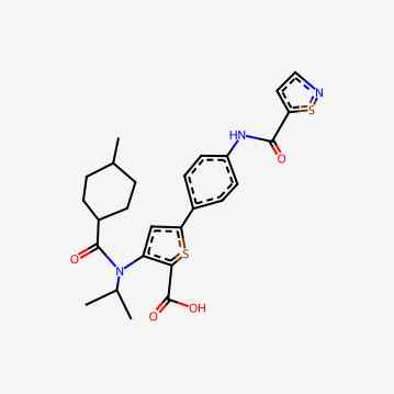 CC1CCC(C(=O)N(c2cc(-c3ccc(NC(=O)c4ccns4)cc3)sc2C(=O)O)C(C)C)CC1